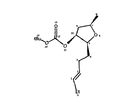 CC/C=C/CC[C@@H]1O[C@H](C)C[C@@H]1OC(=O)OC(C)(C)C